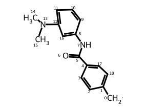 [CH2]c1ccc(C(=O)Nc2cccc(N(C)C)c2)cc1